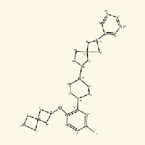 Fc1ccc(OC2CC3(COC3)C2)c(C2CCN(C3CCC4(C3)CN(c3cncnc3)C4)CC2)c1